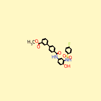 COC(=O)c1cccc(-c2ccc(C(=O)Nc3ccc(O)c(NS(=O)(=O)c4ccc(F)cc4)c3)cc2)c1